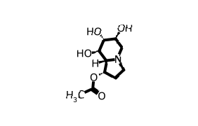 CC(=O)O[C@H]1CCN2C[C@H](O)[C@@H](O)[C@H](O)[C@@H]12